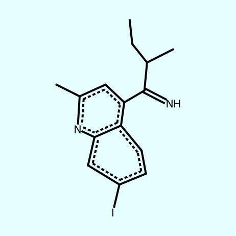 CCC(C)C(=N)c1cc(C)nc2cc(I)ccc12